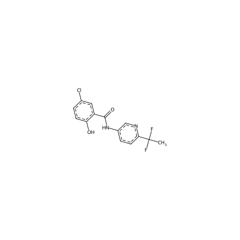 CC(F)(F)c1ccc(NC(=O)c2cc(Cl)ccc2O)cn1